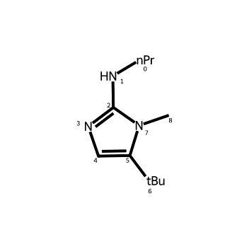 CCCNc1ncc(C(C)(C)C)n1C